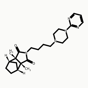 C[C@@]12C(=O)N(CCCCN3CCN(c4ncccn4)CC3)C(=O)[C@]1(C)[C@@H]1CC[C@H]2C1